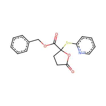 O=C1CCC(Sc2ccccn2)(C(=O)OCc2ccccc2)O1